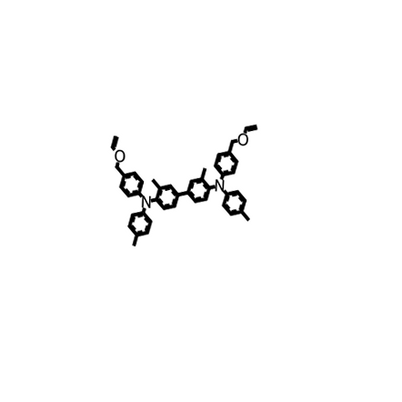 C=COCc1ccc(N(c2ccc(C)cc2)c2ccc(-c3ccc(N(c4ccc(C)cc4)c4ccc(COC=C)cc4)c(C)c3)cc2C)cc1